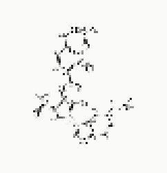 CNCc1ccc2ncc(-c3sc(C(=O)O)c(O[C@H](C)c4ccc(COC(C)=O)cc4Cl)c3C)n2c1